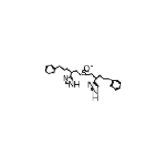 [O-][S+](CCC(CCCc1ccccc1)c1c[nH]cn1)CCC(CCCc1ccccc1)c1c[nH]cn1